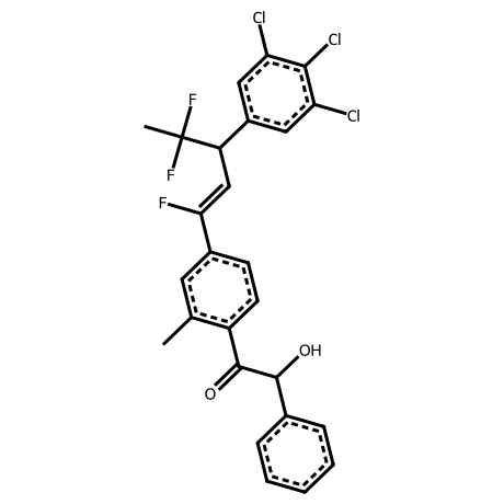 Cc1cc(C(F)=CC(c2cc(Cl)c(Cl)c(Cl)c2)C(C)(F)F)ccc1C(=O)C(O)c1ccccc1